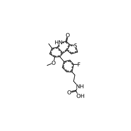 COc1cc(C)c2[nH]c(=O)c3sccc3c2c1-c1ccc(CCNC(=O)O)c(F)c1